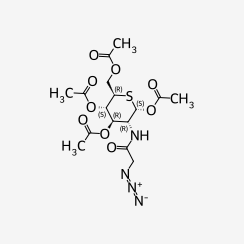 CC(=O)OC[C@H]1S[C@H](OC(C)=O)[C@H](NC(=O)CN=[N+]=[N-])[C@@H](OC(C)=O)[C@@H]1OC(C)=O